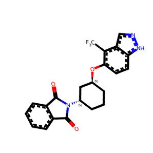 O=C1c2ccccc2C(=O)N1[C@H]1CCC[C@H](Oc2ccc3[nH]ncc3c2C(F)(F)F)C1